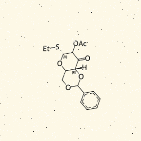 CCS[C@H]1OC2COC(c3ccccc3)O[C@H]2C(=O)C1OC(C)=O